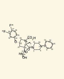 C[C@@]1(C(=O)N2CCN(c3ccccc3)CC2)[C@@H](C(=O)NO)C[C@H](Oc2ccc(F)c(F)c2)CN1C(=O)O